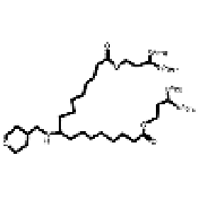 CCCCCC(CCCCC)CCOC(=O)CCCCCCCC(CCCCCCCC(=O)OCCC(CCCCC)CCCCC)NCC1CCOCC1